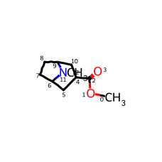 COC(=O)C1CC2CCC(C1)N2C